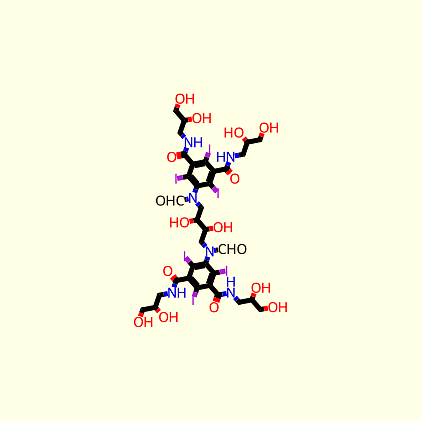 O=CN(CC(O)C(O)CN(C=O)c1c(I)c(C(=O)NCC(O)CO)c(I)c(C(=O)NCC(O)CO)c1I)c1c(I)c(C(=O)NCC(O)CO)c(I)c(C(=O)NCC(O)CO)c1I